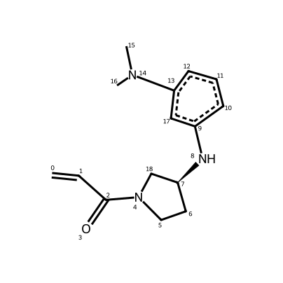 C=CC(=O)N1CC[C@H](Nc2cccc(N(C)C)c2)C1